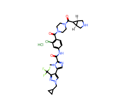 Cl.Cn1c(-c2cn(CC3CC3)nc2C(F)(F)F)cnc1C(=O)Nc1ccc(C(=O)N2CCN(C(=O)C3[C@H]4CNC[C@@H]34)CC2)c(Cl)c1